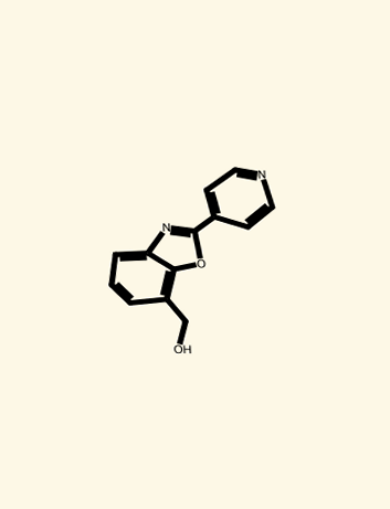 OCc1cccc2nc(-c3ccncc3)oc12